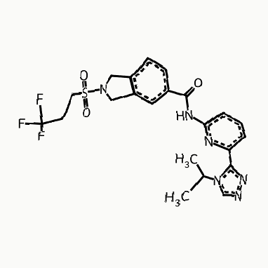 CC(C)n1cnnc1-c1cccc(NC(=O)c2ccc3c(c2)CN(S(=O)(=O)CCC(F)(F)F)C3)n1